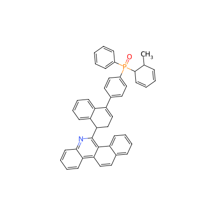 CC1C=CC=CC1P(=O)(c1ccccc1)c1ccc(C2=CCC(c3nc4ccccc4c4ccc5ccccc5c34)c3ccccc32)cc1